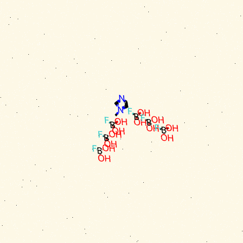 Cn1ccnc1.OB(O)F.OB(O)F.OB(O)F.OB(O)F.OB(O)F.OB(O)F